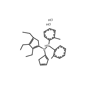 CCC1=C(CC)C(CC)=[C]([Zr]([C]2=CC=CC2)[SiH](c2ccccc2C)c2ccccc2C)C1.Cl.Cl